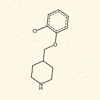 Clc1ccccc1OCC1CCNCC1